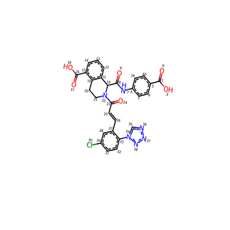 O=C(O)c1ccc(NC(=O)C2c3cccc(C(=O)O)c3CCN2C(=O)/C=C/c2cc(Cl)ccc2-n2cnnn2)cc1